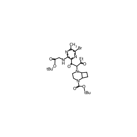 CCC(=O)C(C(=O)c1nc(Br)c(C)nc1NCC(=O)OC(C)(C)C)N1CCN(C(=O)OC(C)(C)C)C2CCC21